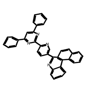 c1ccc(-c2cc(-c3ccccc3)nc(-c3ccc(-c4nc5ccccc5c5c4ccc4ccccc45)cn3)n2)cc1